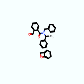 CC(c1ccccc1)N(Cc1ccccc1)C(=O)c1ccccc1C=O.c1ccc2c(c1)CO2